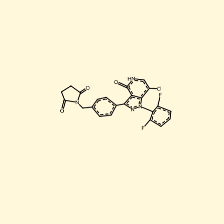 O=C1CCC(=O)N1Cc1ccc(-c2nn(-c3c(F)cccc3F)c3c(Cl)c[nH]c(=O)c23)cc1